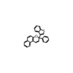 C1=CC(c2ccccc2)(c2csc3ccccc23)Oc2ccc3ccccc3c21